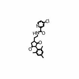 Cc1cc(C)c(C2C(=O)CC(CCNC(=O)c3cc(Cl)ccn3)C2=O)c(C)c1